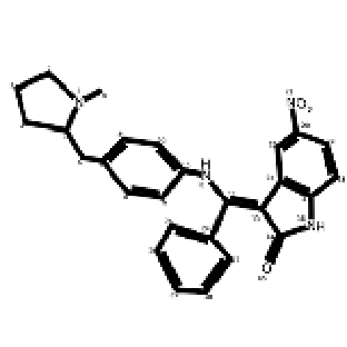 CN1CCCC1Cc1ccc(NC(=C2C(=O)Nc3ccc([N+](=O)[O-])cc32)c2ccccc2)cc1